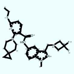 CCSc1ccc(C(=O)Nc2ccc3c(c2)c(CN2CC(F)(F)C2)nn3C)c(N2CCC3(CC2)CC3)c1